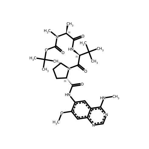 CNc1ncnc2cc(OC)c(NC(=O)[C@@H]3CCCN3C(=O)[C@@H](NC(=O)[C@H](C)N(C)C(=O)OC(C)(C)C)C(C)(C)C)cc12